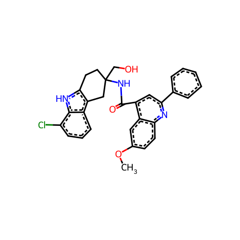 COc1ccc2nc(-c3ccccc3)cc(C(=O)NC3(CO)CCc4[nH]c5c(Cl)cccc5c4C3)c2c1